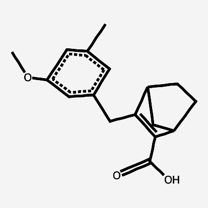 COc1cc(C)cc(CC2=C(C(=O)O)C3CCC2C3)c1